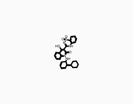 O=c1c(C2=NS(=O)(=O)c3ccccc3N2)c(O)c2ccccc2n1NC1C=CC=CC1=C1CCCCC1